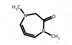 CN1C=C=CN(C)C(=O)C1